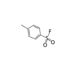 Cc1ccc(S(=O)(=O)F)cc1